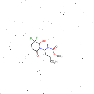 CCCCOC(=O)NC(CCC(=O)O)N1C(=O)CCC(F)(F)C1O